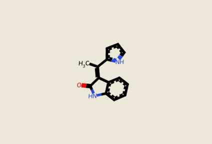 C/C(=C1\C(=O)Nc2ccccc21)c1ccc[nH]1